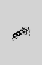 COC1Cc2cc3ccc(=O)oc3cc2OC1(C)C